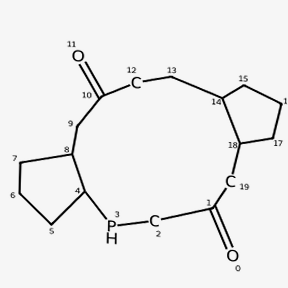 O=C1CPC2CCCC2CC(=O)CCC2CCCC2C1